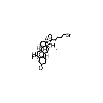 CC(=O)[C@@]1(OC(=O)CCCCBr)CC[C@H]2[C@@H]3CC(F)C4=CC(=O)CC[C@]4(C)[C@H]3CC[C@@]21C